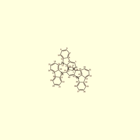 c1ccc2c(c1)c1ccccc1n2-c1cccc2c3ccccc3n(-c3ccc4c5cccc6c7ccccc7n(c4c3)c65)c12